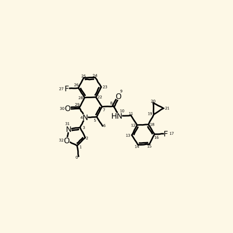 Cc1cc(-n2c(C)c(C(=O)NCc3cccc(F)c3C3CC3)c3cccc(F)c3c2=O)no1